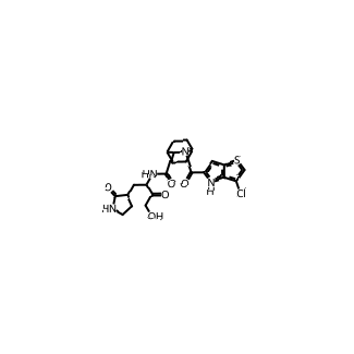 O=C1NCCC1CC(NC(=O)C1C2CCC(CC2)N1C(=O)c1cc2scc(Cl)c2[nH]1)C(=O)CO